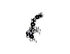 CCCc1ccc(C)cc1N1/C(=N/C(=O)NC(C)C(F)c2ccc(-c3ncn(-c4ccc(OC(F)(F)F)cc4)n3)cc2)SCCC1C